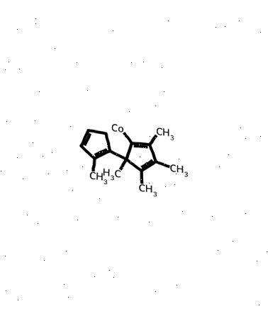 CC1=C(C2(C)C(C)=C(C)C(C)=[C]2[Co])CC=C1